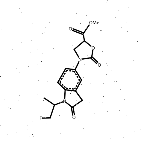 COC(=O)C1CN(c2ccc3c(c2)CC(=O)N3C(C)CF)C(=O)O1